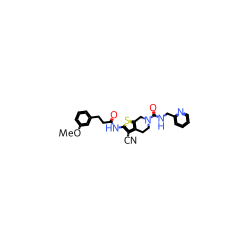 COc1cccc(CCC(=O)Nc2sc3c(c2C#N)CCN(C(=O)NCc2ccccn2)C3)c1